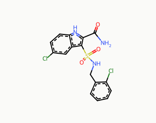 NC(=O)c1[nH]c2ccc(Cl)cc2c1S(=O)(=O)NCc1ccccc1Cl